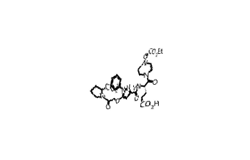 CCOC(=O)ON1CCN(C(=O)[C@H](CCC(=O)O)NC(=O)c2cc(OCC(=O)N3CCC[C@H]3C(=O)O)n(-c3ccccc3)n2)CC1